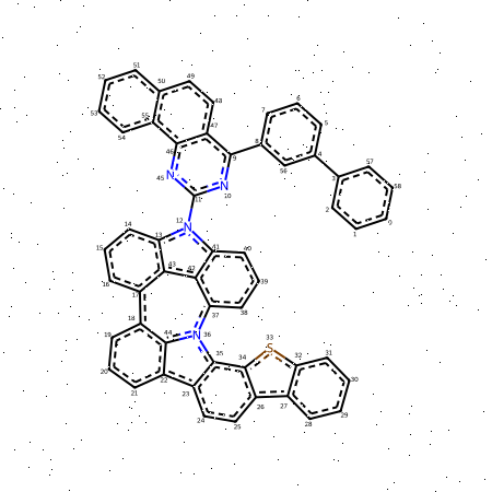 c1ccc(-c2cccc(-c3nc(-n4c5cccc6c7cccc8c9ccc%10c%11ccccc%11sc%10c9n(c9cccc4c9c65)c78)nc4c3ccc3ccccc34)c2)cc1